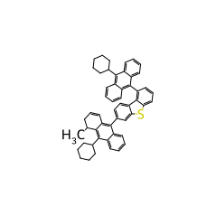 CC1CC=Cc2c1c(C1CCCCC1)c1ccccc1c2-c1ccc2c(c1)sc1cccc(-c3c4ccccc4c(C4CCCCC4)c4ccccc34)c12